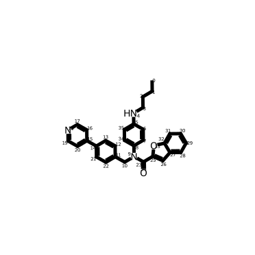 CCCCNc1ccc(N(Cc2ccc(-c3ccncc3)cc2)C(=O)c2cc3ccccc3o2)cc1